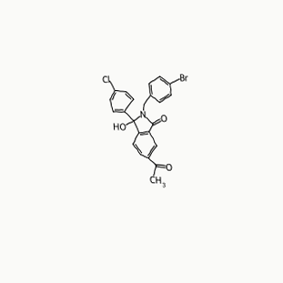 CC(=O)c1ccc2c(c1)C(=O)N(Cc1ccc(Br)cc1)C2(O)c1ccc(Cl)cc1